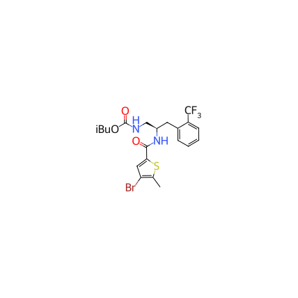 Cc1sc(C(=O)N[C@@H](CNC(=O)OCC(C)C)Cc2ccccc2C(F)(F)F)cc1Br